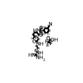 Cc1ccc(NS(=O)(=O)c2cccc(C#N)c2)c(=O)n1CC(=O)NCCONC(=N)N.O=C(O)C(F)(F)F